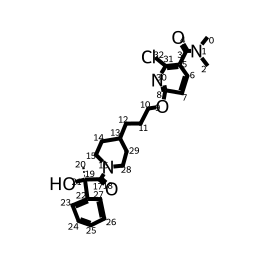 CN(C)C(=O)c1ccc(OCCCC2CCN(C(=O)[C@](C)(O)c3ccccc3)CC2)nc1Cl